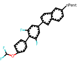 CCCCCc1ccc2cc(-c3cc(F)c(-c4ccc(OC(F)F)cc4)c(F)c3)ccc2c1